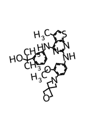 COc1cc(Nc2nc(Nc3cccc(C(C)(C)O)c3)c3c(C)csc3n2)ccc1N1CC2(COC2)C1